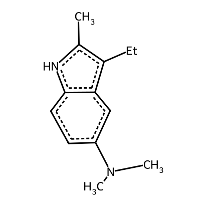 CCc1c(C)[nH]c2ccc(N(C)C)cc12